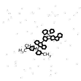 Cc1cccc(N(c2ccc(C(C)C)cc2)c2c3ccccc3c(-c3ccc4c(c3)-c3cc5ccc6ccccc6c5cc3S4(c3ccccc3)c3ccccc3)c3ccccc23)c1